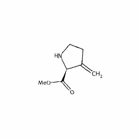 C=C1CCN[C@@H]1C(=O)OC